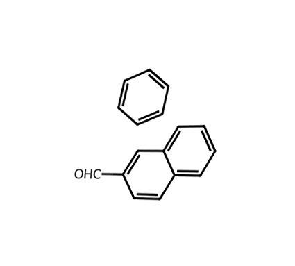 O=Cc1ccc2ccccc2c1.c1ccccc1